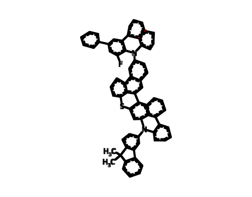 CC1(C)c2ccccc2-c2cc(N(c3ccc4c(c3)Sc3cccc5c3c-4cc3ccc(N(c4ccccc4)c4c(F)cc(-c6ccccc6)cc4-c4ccccc4)cc35)c3ccccc3-c3ccccc3)ccc21